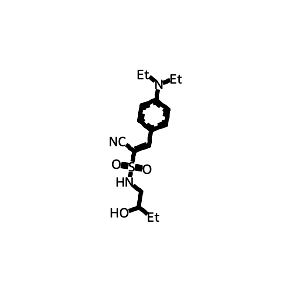 CCC(O)CNS(=O)(=O)/C(C#N)=C/c1ccc(N(CC)CC)cc1